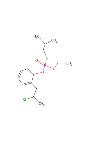 C=C(Cl)Cc1ccccc1OP(=O)(OCC)SCC(C)C